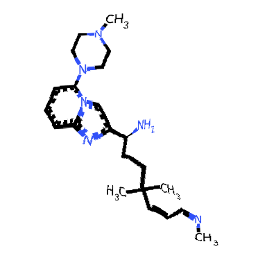 C/N=C\C=C/C(C)(C)CC[C@H](N)c1cn2c(N3CCN(C)CC3)cccc2n1